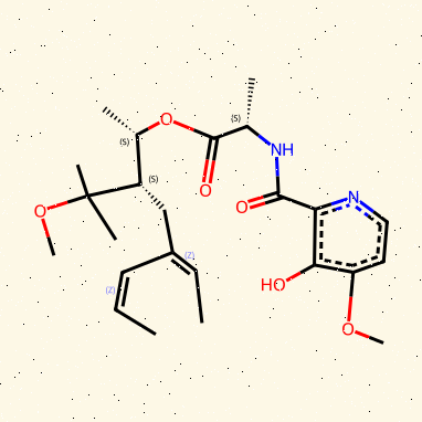 C/C=C\C(=C/C)C[C@@H]([C@H](C)OC(=O)[C@H](C)NC(=O)c1nccc(OC)c1O)C(C)(C)OC